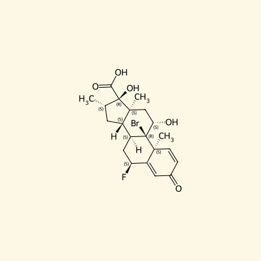 C[C@H]1C[C@H]2[C@@H]3C[C@H](F)C4=CC(=O)C=C[C@]4(C)[C@@]3(Br)[C@@H](O)C[C@]2(C)[C@@]1(O)C(=O)O